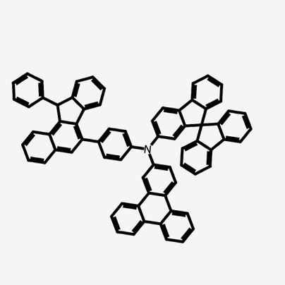 c1ccc(C2c3ccccc3-c3c(-c4ccc(N(c5ccc6c(c5)C5(c7ccccc7-c7ccccc75)c5ccccc5-6)c5ccc6c7ccccc7c7ccccc7c6c5)cc4)cc4ccccc4c32)cc1